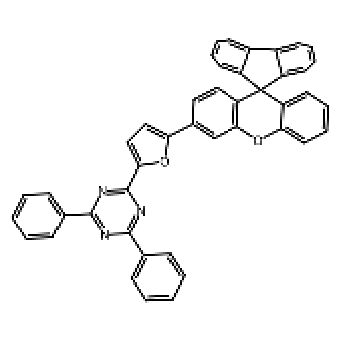 c1ccc(-c2nc(-c3ccccc3)nc(-c3ccc(-c4ccc5c(c4)Oc4ccccc4C54c5ccccc5-c5ccccc54)o3)n2)cc1